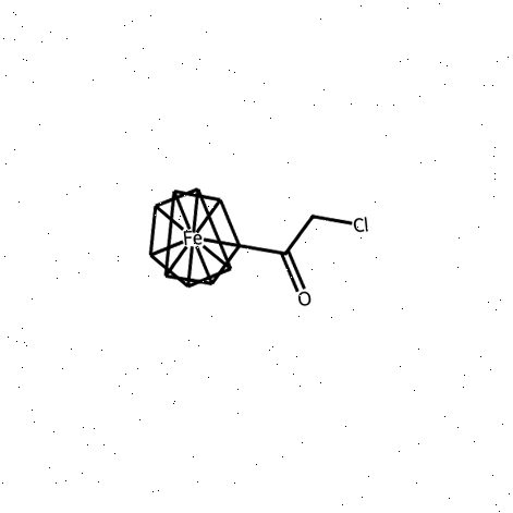 O=C(CCl)[C]12[CH]3[CH]4[CH]5[CH]1[Fe]45321678[CH]2[CH]1[CH]6[CH]7[CH]28